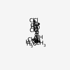 Cc1sc2c(c1C)C(c1ccc(Cl)cc1)=N[C@@H](CC(=O)NCCOCCOCCOCCC(=O)NC(Cc1ccccc1)C(=O)N1C/C(=C\c3ccc(Cl)c(Cl)c3)C(=O)/C(=C/c3ccc(Cl)c(Cl)c3)C1)c1nnc(C)n1-2